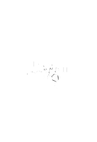 CCCCCC(CC)n1c(=O)c2cc(C)ccc2n(CC)c1=O